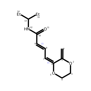 C=C1OCCO/C1=C/C=C/C(=O)NC(CC)CC